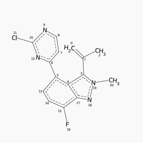 C=C(C)c1c2c(-c3ccnc(Cl)n3)ccc(F)c2nn1C